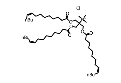 CCCC/C=C\CCCCCCCC(=O)OCC(COC(=O)CCCCCCC/C=C\CCCC)(COC(=O)CCCCCCC/C=C\CCCC)[N+](C)(C)C.[Cl-]